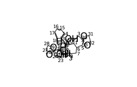 C[C@]12CCC3(CC1CC[C@@H]1[C@@H]2[C@](O)(c2ccccc2)C[C@@]2(C)[C@H]1CCC21OCCO1)OCCO3